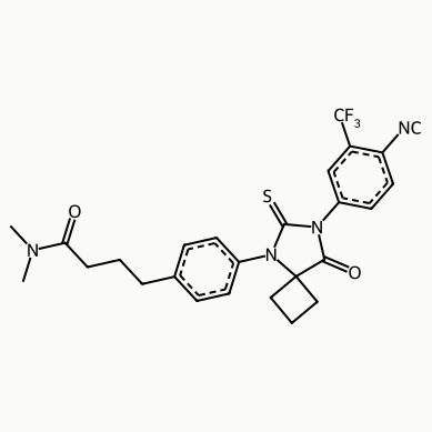 [C-]#[N+]c1ccc(N2C(=O)C3(CCC3)N(c3ccc(CCCC(=O)N(C)C)cc3)C2=S)cc1C(F)(F)F